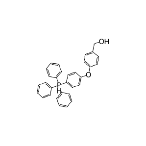 OCc1ccc(Oc2ccc([PH](c3ccccc3)(c3ccccc3)c3ccccc3)cc2)cc1